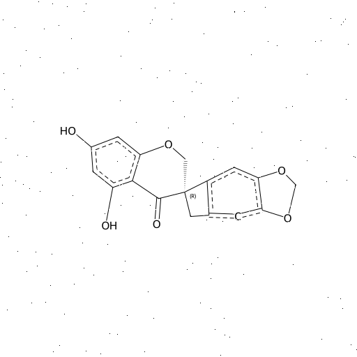 O=C1c2c(O)cc(O)cc2OC[C@]12Cc1cc3c(cc12)OCO3